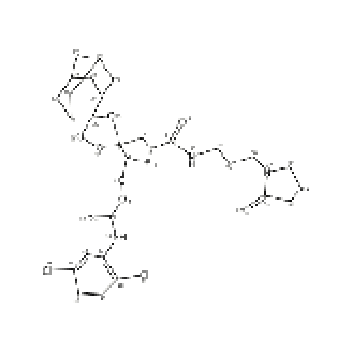 O=C(CCC1(C(F)COC(=O)Nc2cc(Cl)ccc2Cl)OOC2(O1)C1CC3CC(C1)CC2C3)NCCCN1CCCC1=O